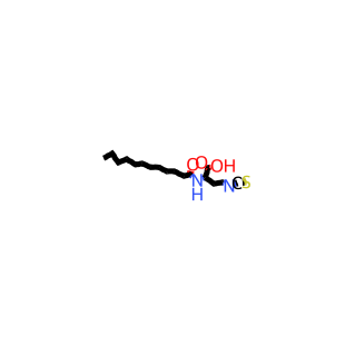 CCCCCCCCCCCC(=O)NC(CCN=C=S)C(=O)O